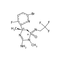 CN1C(N)=N[C@](C)(c2nc(Br)ccc2F)C[S@]1(=O)=NCC(F)(F)F